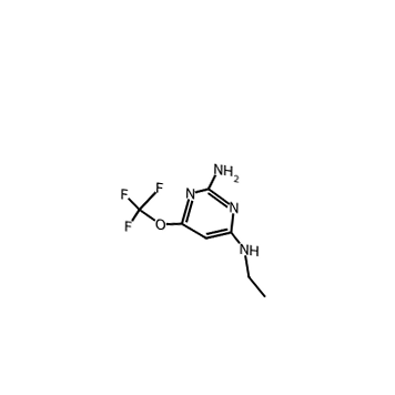 CCNc1cc(OC(F)(F)F)nc(N)n1